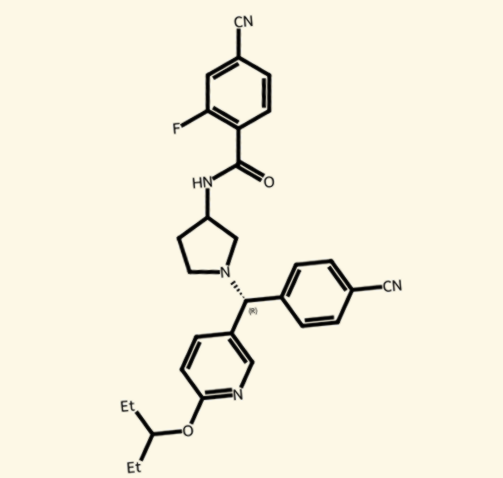 CCC(CC)Oc1ccc([C@@H](c2ccc(C#N)cc2)N2CCC(NC(=O)c3ccc(C#N)cc3F)C2)cn1